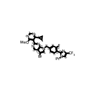 COc1ncnc(C2CC2)c1-c1ncc2c(Br)cn(Cc3ccc(-c4nc(C(F)(F)F)cn4C(C)C)c(F)c3)c2n1